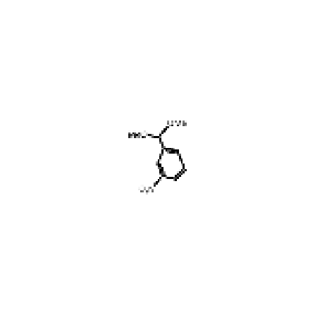 COC(OC)c1cccc([N+](=O)[O-])c1